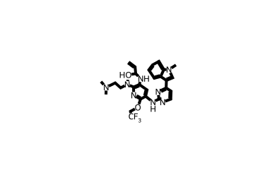 C=CC(O)Nc1cc(Nc2nccc(-c3cn(C)c4ccccc34)n2)c(OCC(F)(F)F)nc1N(C)CCN(C)C